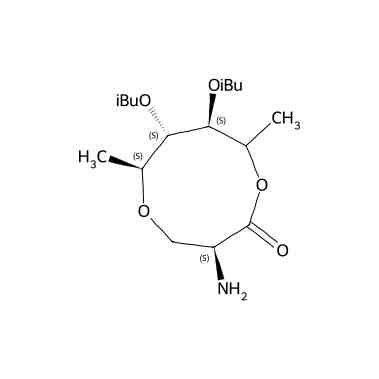 CC(C)CO[C@H]1[C@H](C)OC[C@H](N)C(=O)OC(C)[C@@H]1OCC(C)C